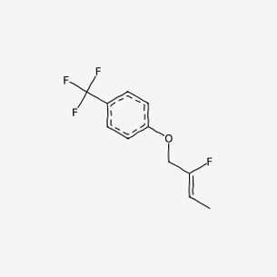 C/C=C(\F)COc1ccc(C(F)(F)F)cc1